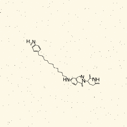 C=C1CCC(N2N=Cc3cc(NCCCCCCCCCCCCc4ccc(N)cc4)ccc3C2=C)C(=C)N1